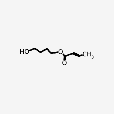 CC=CC(=O)OCCCCO